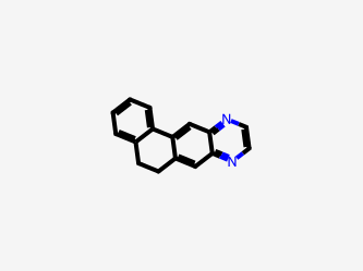 c1ccc2c(c1)CCc1cc3nccnc3cc1-2